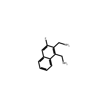 NCc1c(F)cc2ccccc2c1CN